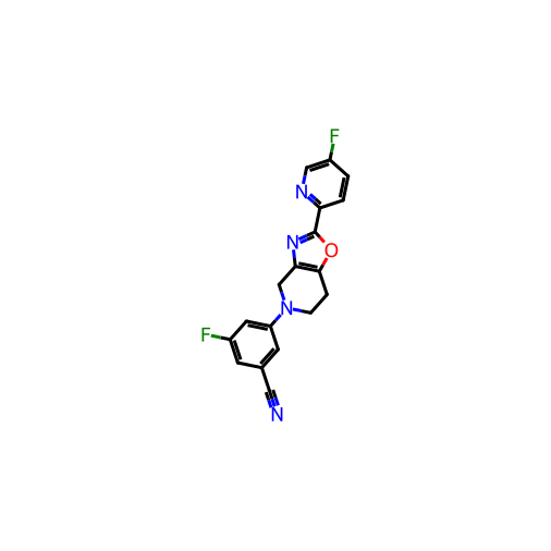 N#Cc1cc(F)cc(N2CCc3oc(-c4ccc(F)cn4)nc3C2)c1